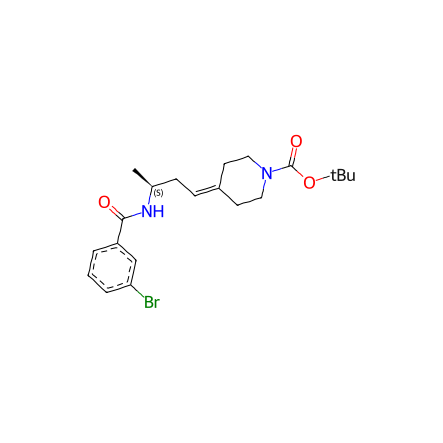 C[C@@H](CC=C1CCN(C(=O)OC(C)(C)C)CC1)NC(=O)c1cccc(Br)c1